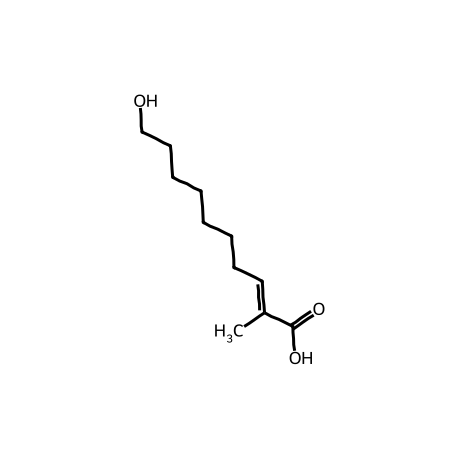 C/C(=C\CCCCCCCO)C(=O)O